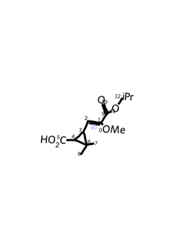 CO/C(=C\C1C(C(=O)O)C1(C)C)C(=O)OC(C)C